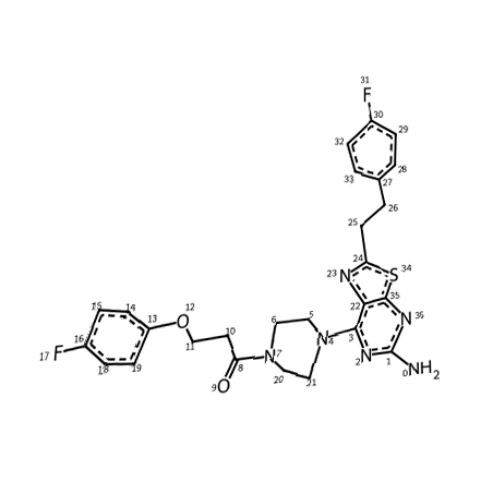 Nc1nc(N2CCN(C(=O)CCOc3ccc(F)cc3)CC2)c2nc(CCc3ccc(F)cc3)sc2n1